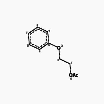 CC(=O)OCCOc1c[c]ccc1